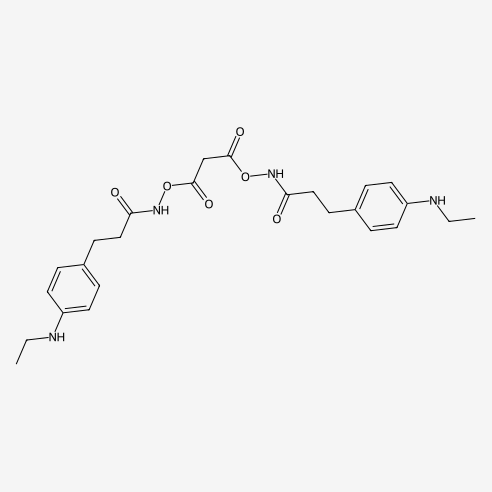 CCNc1ccc(CCC(=O)NOC(=O)CC(=O)ONC(=O)CCc2ccc(NCC)cc2)cc1